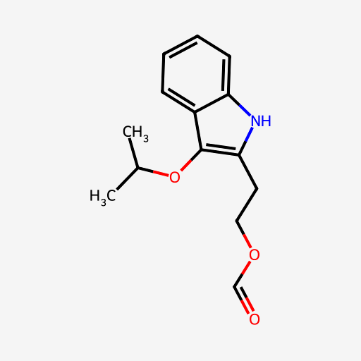 CC(C)Oc1c(CCOC=O)[nH]c2ccccc12